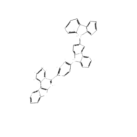 c1ccc2c(c1)sc1nc(-c3ccc(-n4c5ccccc5c5cc(-n6c7ccccc7c7ccccc76)ccc54)cc3)c3ccccc3c12